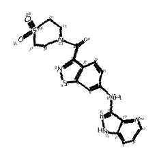 O=C(c1nsc2cc(Nc3n[nH]c4cccnc34)ccc12)N1CCS(=O)(=O)CC1